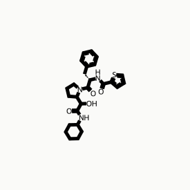 O=C(N[C@@H](Cc1ccccc1)C(=O)N1CCCC1C(O)C(=O)NC1CCCCC1)c1cccs1